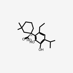 CCc1cc(C(C)C)c(O)c(O)c1[C@@]1(C(=O)O)CCCC(C)(C)C1